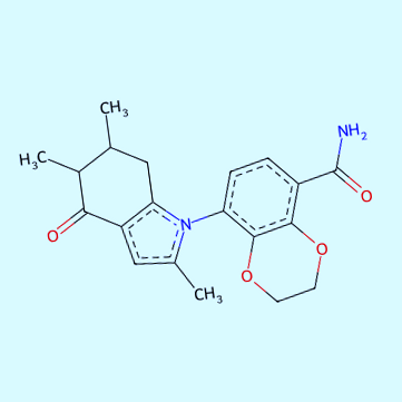 Cc1cc2c(n1-c1ccc(C(N)=O)c3c1OCCO3)CC(C)C(C)C2=O